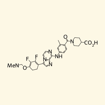 CNCOC1=C(F)C(F)=C(c2cnc3c(Nc4ccc(C(=O)N5CCC(C(=O)O)CC5)c(C)c4)nccn23)CC1